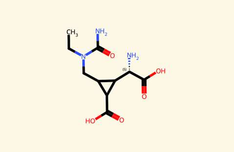 CCN(CC1C(C(=O)O)C1[C@H](N)C(=O)O)C(N)=O